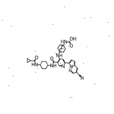 N#Cc1cnn2c(-c3cc(NC45CCC(NC(=O)O)(CC4)CC5)c(C(=O)NC4CCC(NC(=O)C5CC5)CC4)cn3)ccc2c1